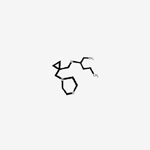 CCCC(CC)OCC1(CN2CCOCC2)CC1